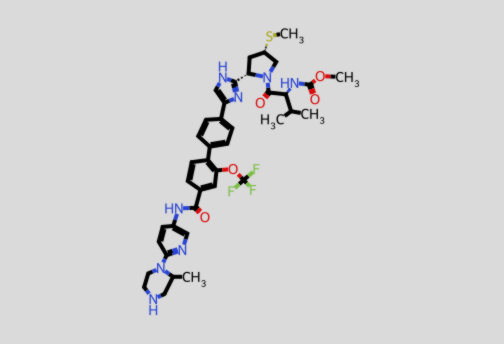 COC(=O)N[C@H](C(=O)N1C[C@@H](SC)C[C@H]1c1nc(-c2ccc(-c3ccc(C(=O)Nc4ccc(N5CCNCC5C)nc4)cc3OC(F)(F)F)cc2)c[nH]1)C(C)C